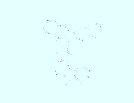 c1ccc2cc3c(cc2c1)c1cc2ccccc2cc1n3-c1nc2c(ccc3sc4ccccc4c32)s1